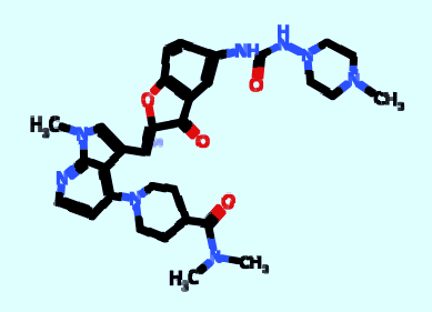 CN1CCN(NC(=O)Nc2ccc3c(c2)C(=O)/C(=C/c2cn(C)c4nccc(N5CCC(C(=O)N(C)C)CC5)c24)O3)CC1